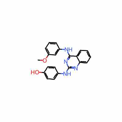 COc1cccc(Nc2nc(Nc3ccc(O)cc3)nc3ccccc23)c1